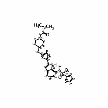 CN(C)C(=O)CN1CCN(Cc2cnc(-c3cc4cccc(NS(=O)(=O)c5cccs5)c4[nH]3)s2)CC1